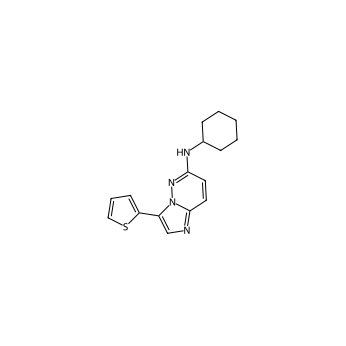 c1csc(-c2cnc3ccc(NC4CCCCC4)nn23)c1